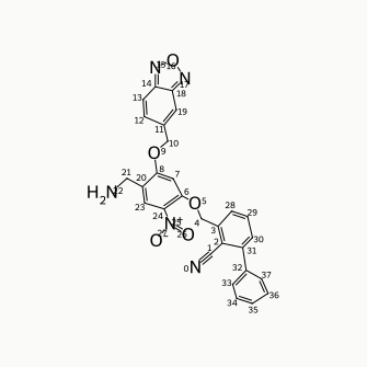 N#Cc1c(COc2cc(OCc3ccc4nonc4c3)c(CN)cc2[N+](=O)[O-])cccc1-c1ccccc1